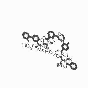 COC[C@@H](C(=O)N[C@@H](CC(=O)O)c1cccc(-c2ccccc2C)c1)n1cnc2c(C3CN(c4cc([C@@H](CC(=O)O)NC(=O)[C@H](CC(C)C)n5cnc6ccccc6c5=O)ccc4C)CCO3)cccc2c1=O